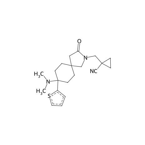 CN(C)C1(c2cccs2)CCC2(CC1)CC(=O)N(CC1(C#N)CC1)C2